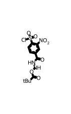 CC(C)(C)C(=O)ONNC(=O)c1ccc(S(=O)(=O)Cl)c([N+](=O)[O-])c1